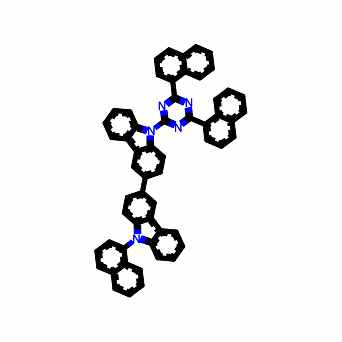 c1ccc2c(-c3nc(-c4cccc5ccccc45)nc(-n4c5ccccc5c5cc(-c6ccc7c(c6)c6ccccc6n7-c6cccc7ccccc67)ccc54)n3)cccc2c1